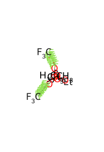 CCOc1ccc(OP(Oc2ccc(OCC(F)(F)C(F)(F)C(F)(F)C(F)(F)C(F)(F)C(F)(F)C(F)(F)C(F)(F)F)cc2C)Oc2ccc(OCC(F)(F)C(F)(F)C(F)(F)C(F)(F)C(F)(F)C(F)(F)C(F)(F)C(F)(F)F)cc2C)c(C)c1